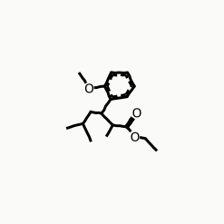 CCOC(=O)C(C)C(CC(C)C)c1ccccc1OC